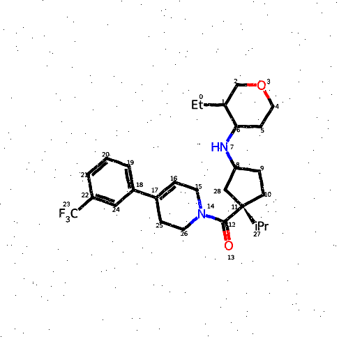 CCC1COCCC1NC1CC[C@@](C(=O)N2CC=C(c3cccc(C(F)(F)F)c3)CC2)(C(C)C)C1